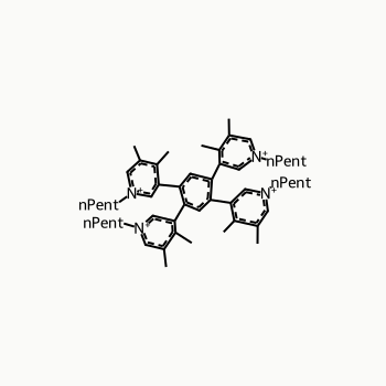 CCCCC[n+]1cc(C)c(C)c(-c2cc(-c3c[n+](CCCCC)cc(C)c3C)c(-c3c[n+](CCCCC)cc(C)c3C)cc2-c2c[n+](CCCCC)cc(C)c2C)c1